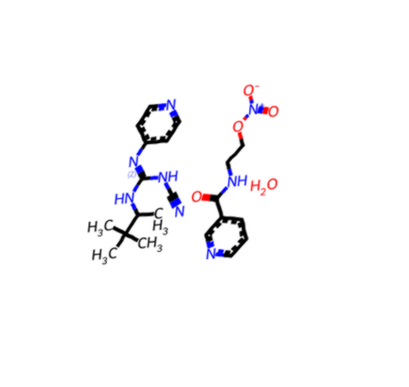 CC(N/C(=N/c1ccncc1)NC#N)C(C)(C)C.O.O=C(NCCO[N+](=O)[O-])c1cccnc1